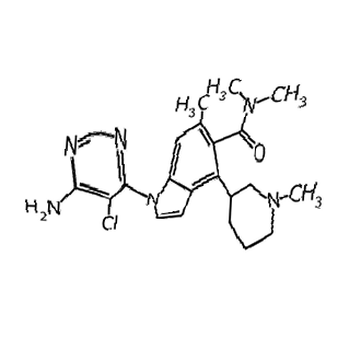 Cc1cc2c(ccn2-c2ncnc(N)c2Cl)c(C2CCCN(C)C2)c1C(=O)N(C)C